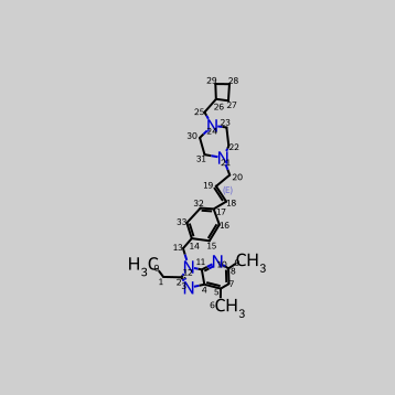 CCc1nc2c(C)cc(C)nc2n1Cc1ccc(/C=C/CN2CCN(CC3CCC3)CC2)cc1